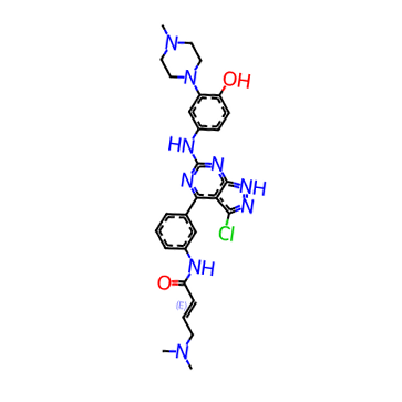 CN(C)C/C=C/C(=O)Nc1cccc(-c2nc(Nc3ccc(O)c(N4CCN(C)CC4)c3)nc3[nH]nc(Cl)c23)c1